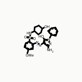 COc1ccc(S(=O)(=O)NC2CCC(O)CC2)c(/N=N/c2c(N)nn(-c3ccccc3)c2O)c1